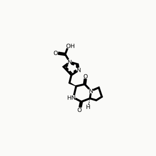 O=C1N[C@@H](Cc2cn(C(=O)O)cn2)C(=O)N2CCC[C@@H]12